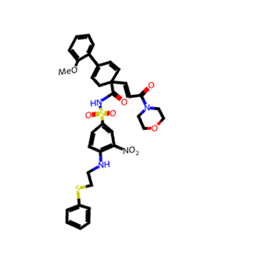 COc1ccccc1C1=CCC(C=CC(=O)N2CCOCC2)(C(=O)NS(=O)(=O)c2ccc(NCCSc3ccccc3)c([N+](=O)[O-])c2)C=C1